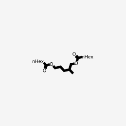 CCCCCCC(=O)OCCCC(C)COC(=O)CCCCCC